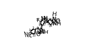 N#Cc1ccc(Cn2c(-c3cc(F)c4nnn(-c5ccc6[nH]c(=O)[nH]c6c5)c4c3)c[nH]c2=O)cc1